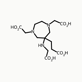 O=C(O)CCC1(NCC(=O)O)CN(CC(=O)O)CCN(CC(=O)O)C1